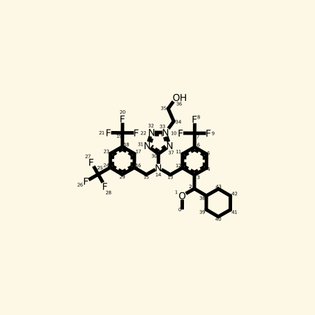 COC(c1ccc(C(F)(F)F)cc1CN(Cc1cc(C(F)(F)F)cc(C(F)(F)F)c1)c1nnn(CCO)n1)C1CCCCC1